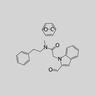 CN(CCc1ccccc1)C(=O)Cn1c(C=O)cc2ccccc21.c1cc2ccc1CO2